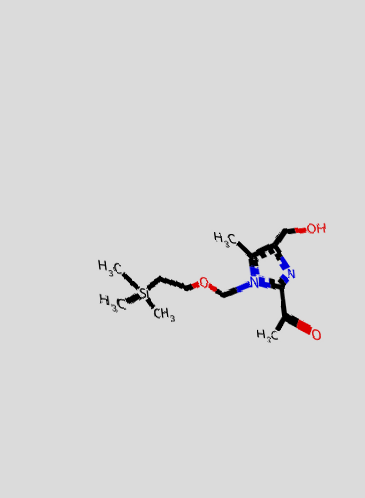 CC(=O)c1nc(CO)c(C)n1COCC[Si](C)(C)C